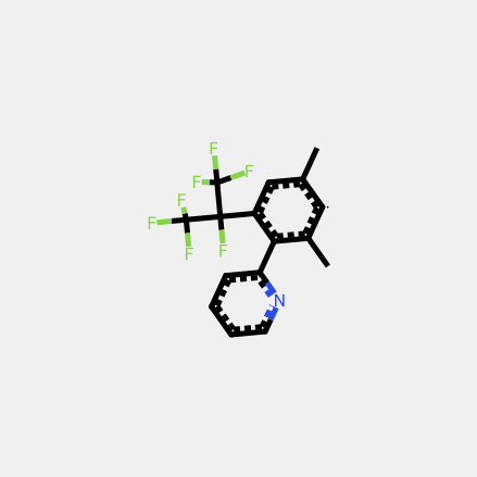 Cc1[c]c(C)c(-c2ccccn2)c(C(F)(C(F)(F)F)C(F)(F)F)c1